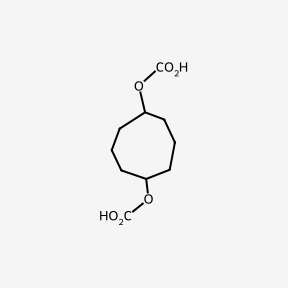 O=C(O)OC1CCCC(OC(=O)O)CCC1